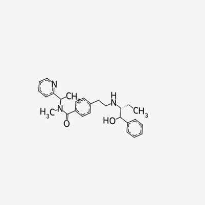 CC[C@@H](NCCc1ccc(C(=O)N(C)C(C)c2ccccn2)cc1)C(O)c1ccccc1